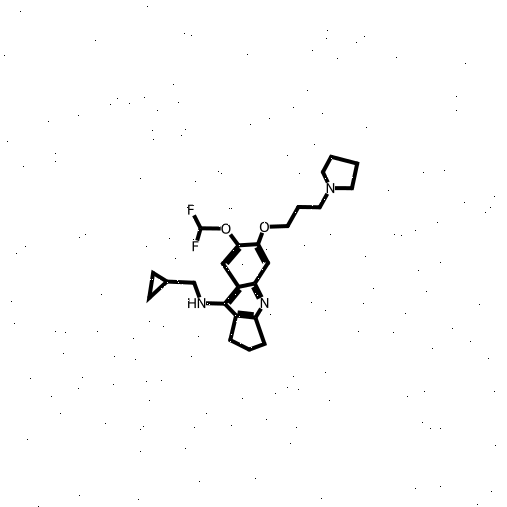 FC(F)Oc1cc2c(NCC3CC3)c3c(nc2cc1OCCCN1CCCC1)CCC3